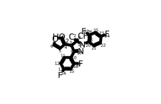 CC1(C(=O)O)C(c2ccoc2)C(c2ccc(F)cc2F)=NN1c1ccc(F)cc1F